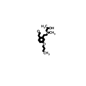 CCCCOc1ccc(CC=O)c(CCN(C)CC(C)O)c1